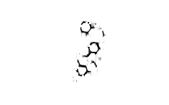 Cc1nc(N[C@H](C)c2cc(N)cc(C(F)(F)F)c2)c2cc3c(cc2n1)OCCO[C@@H]1CCCC[C@@H]1O3